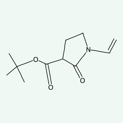 C=CN1CCC(C(=O)OC(C)(C)C)C1=O